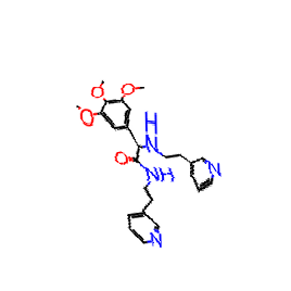 COc1cc(C(NCCc2cccnc2)C(=O)NCCc2cccnc2)cc(OC)c1OC